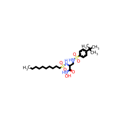 CCCCCCCCCCS(=O)(=O)NC(CNS(=O)(=O)c1ccc(C(C)(C)C)cc1)C(=O)NO